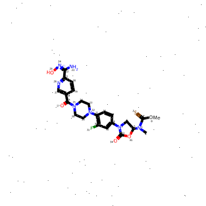 COC(=S)N(C)C1CN(c2ccc(N3CCN(C(=O)c4ccc(/C(N)=N\O)nc4)CC3)c(F)c2)C(=O)O1